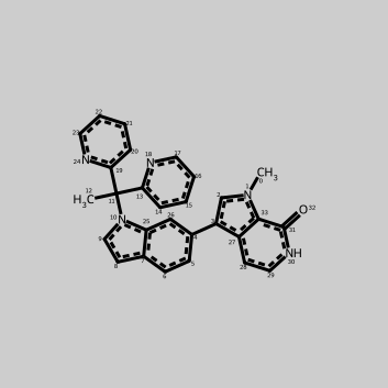 Cn1cc(-c2ccc3ccn(C(C)(c4ccccn4)c4ccccn4)c3c2)c2cc[nH]c(=O)c21